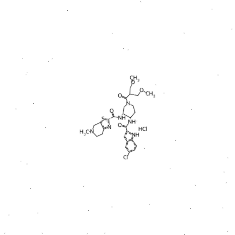 COCC(COC)C(=O)N1CC[C@H](NC(=O)c2cc3cc(Cl)ccc3[nH]2)[C@H](NC(=O)c2nc3c(s2)CN(C)CC3)C1.Cl